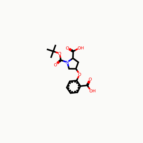 CC(C)(C)OC(=O)N1CC(Oc2ccccc2C(=O)O)CC1C(=O)O